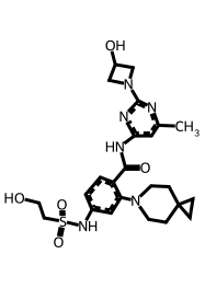 Cc1cc(NC(=O)c2ccc(NS(=O)(=O)CCO)cc2N2CCC3(CC2)CC3)nc(N2CC(O)C2)n1